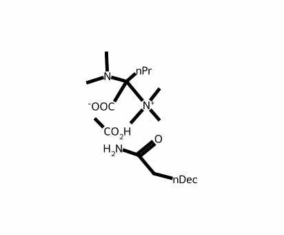 CC(=O)O.CCCC(C(=O)[O-])(N(C)C)[N+](C)(C)C.CCCCCCCCCCCC(N)=O